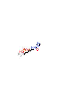 C=CC(CCCCCNC(=O)n1ccnc1)P(=O)(O)O